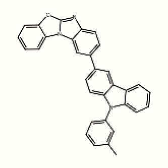 Cc1cccc(-n2c3ccccc3c3cc(-c4ccc5nc6oc7ccccc7n6c5c4)ccc32)c1